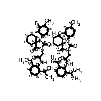 Cc1ccc(N2C(=O)N(CC(=O)Nc3c(C(C)C)cccc3C(C)C)C(=O)C23CCCCC3)c(C)c1.Cc1ccc(N2C(=O)N(CC(=O)Nc3c(C(C)C)cccc3C(C)C)C(=O)C23CCCCC3)cc1F